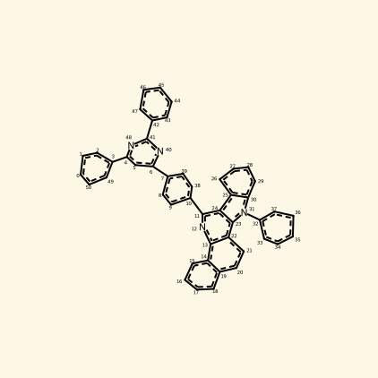 c1ccc(-c2cc(-c3ccc(-c4nc5c6ccccc6ccc5c5c4c4ccccc4n5-c4ccccc4)cc3)nc(-c3ccccc3)n2)cc1